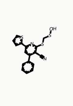 N#Cc1c(-c2ccccc2)cc(-c2cccs2)nc1SCSO